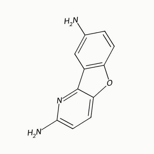 Nc1ccc2oc3ccc(N)nc3c2c1